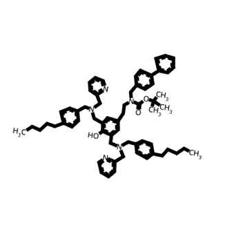 CCCCCc1ccc(CN(Cc2ccccn2)Cc2cc(CCN(Cc3ccc(-c4ccccc4)cc3)C(=O)OC(C)(C)C)cc(CN(Cc3ccc(CCCCC)cc3)Cc3ccccn3)c2O)cc1